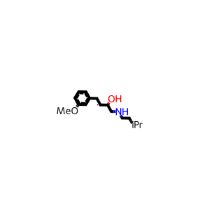 COc1cccc(C[CH]C(O)CNCCC(C)C)c1